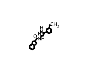 C=Cc1cccc(-c2cc(NC(=O)C3Cc4ccccc4C3)n[nH]2)c1